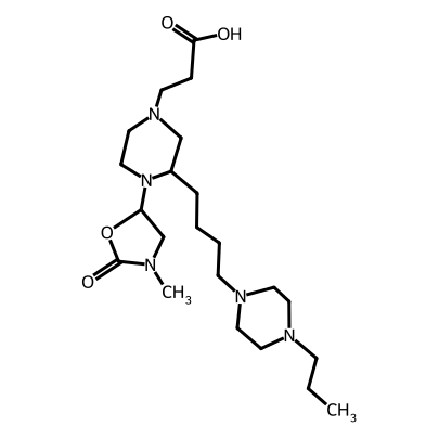 CCCN1CCN(CCCCC2CN(CCC(=O)O)CCN2C2CN(C)C(=O)O2)CC1